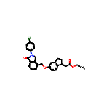 CCOC(=O)CC1CCc2cc(OCc3cccc4c3CN(c3ccc(Cl)cc3)C4=O)ccc21